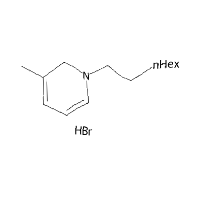 Br.CCCCCCCCN1C=CC=C(C)C1